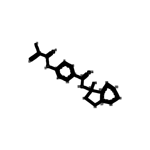 C=C(C)C(=O)Oc1ccc(C(=O)OC2(C)CCc3ccccc32)cc1